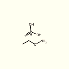 CCON.O=[PH](O)O